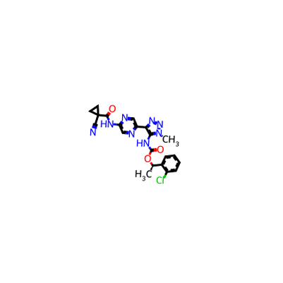 C[C@@H](OC(=O)Nc1c(-c2cnc(NC(=O)C3(C#N)CC3)cn2)nnn1C)c1ccccc1Cl